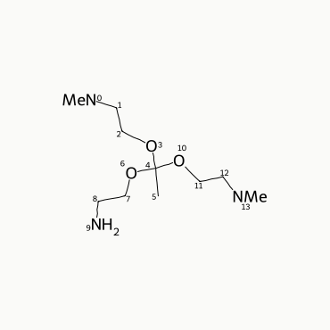 CNCCOC(C)(OCCN)OCCNC